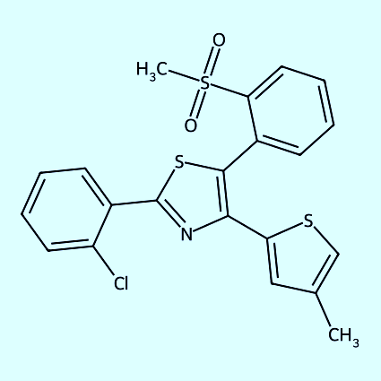 Cc1csc(-c2nc(-c3ccccc3Cl)sc2-c2ccccc2S(C)(=O)=O)c1